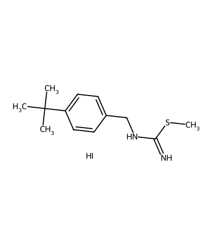 CSC(=N)NCc1ccc(C(C)(C)C)cc1.I